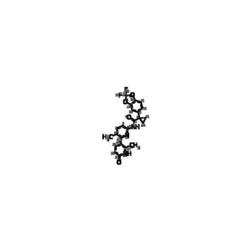 Cc1ccc(NC(=O)C2(c3ccc4c(c3)OC(F)(F)O4)CC2)nc1-c1ccc(=O)[nH]c1C